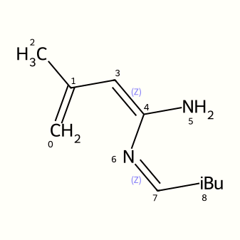 C=C(C)/C=C(N)\N=C/C(C)CC